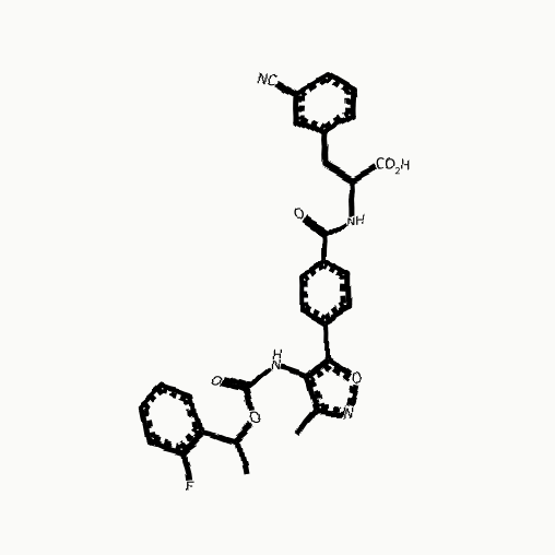 Cc1noc(-c2ccc(C(=O)NC(Cc3cccc(C#N)c3)C(=O)O)cc2)c1NC(=O)OC(C)c1ccccc1F